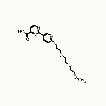 COCCOCCOCCOc1ccc(-c2nccc(C(=O)O)n2)cn1